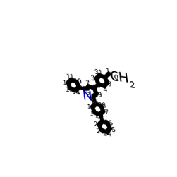 C=Cc1ccc(-c2cc(-c3ccccc3)nc(-c3ccc(-c4ccccc4)cc3)c2)cc1